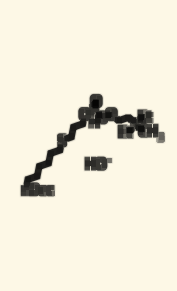 CCCCCCCCCCCCCCCCSCCCO[PH](=O)OOCC[N+](C)(CC)CC.[OH-]